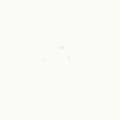 CCCCC(=O)N1CCC(C(C)CO[Si](C)(C)C(C)(C)C)C(Cl)C1